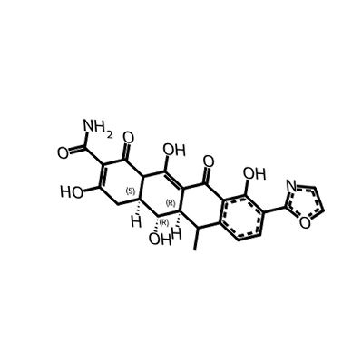 CC1c2ccc(-c3ncco3)c(O)c2C(=O)C2=C(O)C3C(=O)C(C(N)=O)=C(O)C[C@@H]3[C@@H](O)[C@@H]21